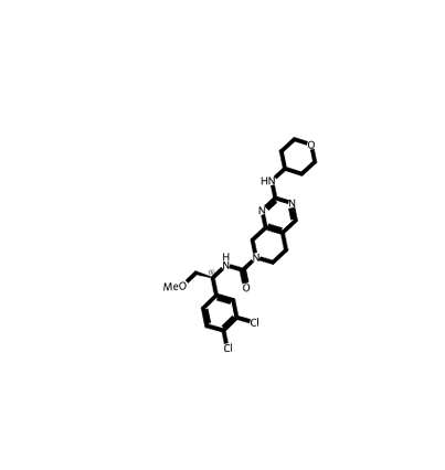 COC[C@@H](NC(=O)N1CCc2cnc(NC3CCOCC3)nc2C1)c1ccc(Cl)c(Cl)c1